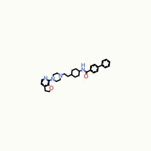 O=C(NC1CCC(CCN2CCN(c3nccc4c3OCC4)CC2)CC1)c1ccc(-c2ccccc2)cc1